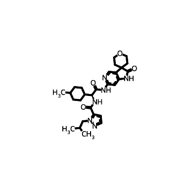 CC(C)Cn1nccc1C(=O)N[C@H](C(=O)Nc1cc2c(cn1)C1(CCOCC1)C(=O)N2)C1CCC(C)CC1